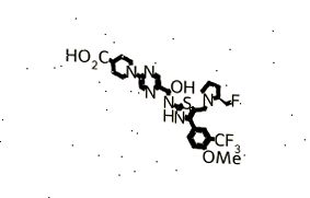 COc1ccc(-c2nc(NC(O)c3cnc(N4CCC(C(=O)O)CC4)cn3)sc2CN2CCC[C@H]2CF)cc1C(F)(F)F